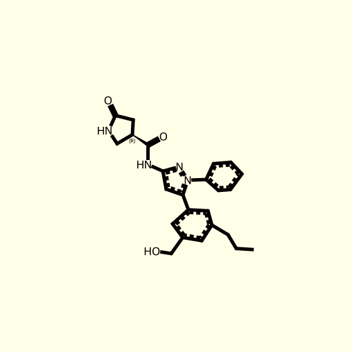 CCCc1cc(CO)cc(-c2cc(NC(=O)[C@H]3CNC(=O)C3)nn2-c2ccccc2)c1